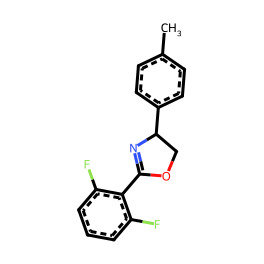 Cc1ccc(C2COC(c3c(F)cccc3F)=N2)cc1